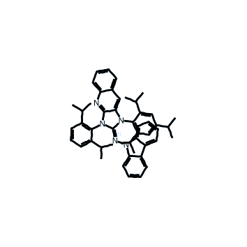 CC(C)c1cc(C(C)C)c(-n2/c(=N\n3c4ccccc4c4ccccc43)n(-c3c(C(C)C)cccc3C(C)C)c3nc4ccccc4cc32)c(C(C)C)c1